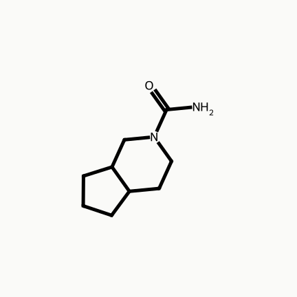 NC(=O)N1CCC2CCCC2C1